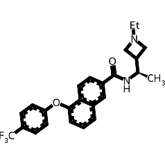 CCN1CC([C@@H](C)NC(=O)c2ccc3c(Oc4ccc(C(F)(F)F)cc4)cccc3c2)C1